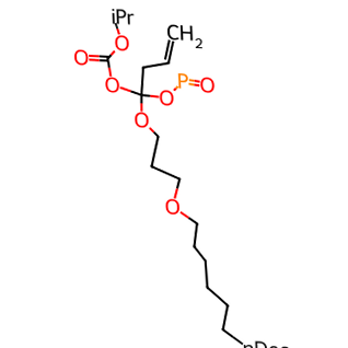 C=CCC(OCCCOCCCCCCCCCCCCCCCC)(OP=O)OC(=O)OC(C)C